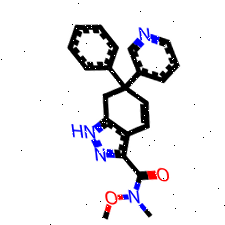 CON(C)C(=O)c1n[nH]c2c1C=CC(c1ccccc1)(c1cccnc1)C2